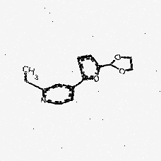 CCc1cc(-c2ccc(C3OCCO3)o2)ccn1